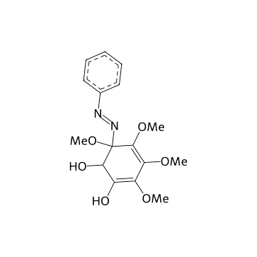 COC1=C(O)C(O)C(N=Nc2ccccc2)(OC)C(OC)=C1OC